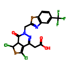 O=C(O)CC1=NN(Cc2nc3cc(C(F)(F)F)ccc3s2)C(=O)C2C1=C(Cl)SC2Cl